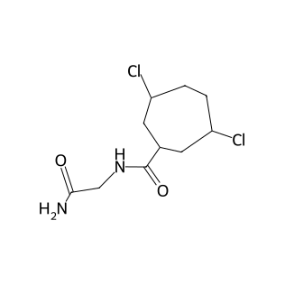 NC(=O)CNC(=O)C1CC(Cl)CCC(Cl)C1